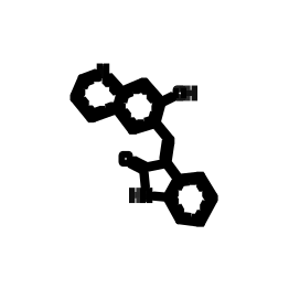 O=C1Nc2ccccc2C1=Cc1cc2cccnc2cc1O